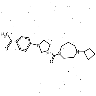 CC(=O)c1ccc(N2CC[C@H](C(=O)N3CCCN(C4CCC4)CC3)C2)cc1